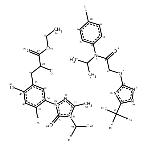 CC(C)N(C(=O)COc1nnc(C(F)(F)F)s1)c1ccc(F)cc1.CCOC(=O)C(Cl)Cc1cc(-n2nc(C)n(C(F)F)c2=O)c(F)cc1Cl